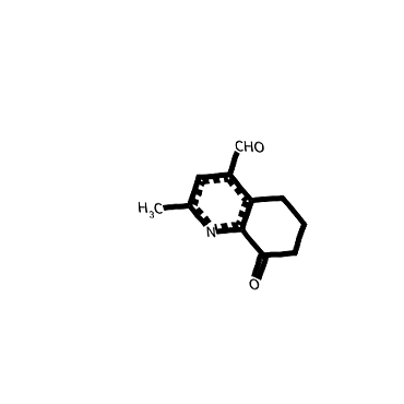 Cc1cc(C=O)c2c(n1)C(=O)CCC2